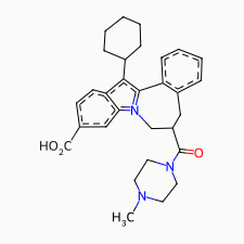 CN1CCN(C(=O)C2Cc3ccccc3-c3c(C4CCCCC4)c4ccc(C(=O)O)cc4n3C2)CC1